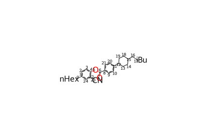 CCCCCCc1ccc(OC(=O)c2ccc(C3CCC(CC(C)CC)CC3)cc2)c(C#N)c1